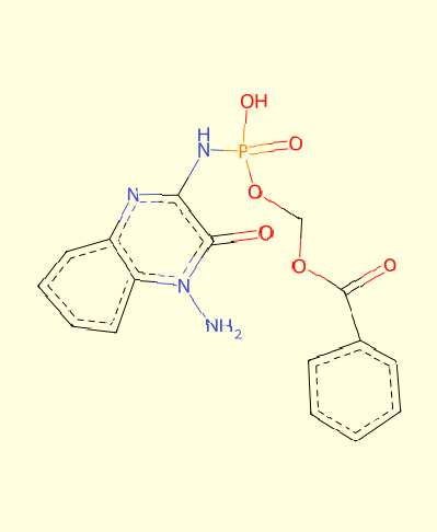 Nn1c(=O)c(NP(=O)(O)OCOC(=O)c2ccccc2)nc2ccccc21